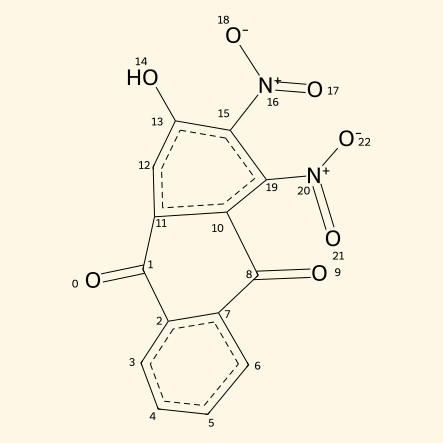 O=C1c2ccccc2C(=O)c2c1cc(O)c([N+](=O)[O-])c2[N+](=O)[O-]